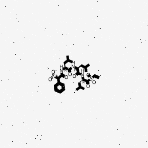 C=CS(=O)(=O)C(=O)[C@H](CC(C)C)NC(=O)[C@H](CC(C)C)NC(=O)[C@H](CC(C)C)NC(=O)C(c1ccccc1)[N+](=O)[O-]